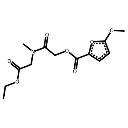 CCOC(=O)CN(C)C(=O)COC(=O)c1ccc(OC)o1